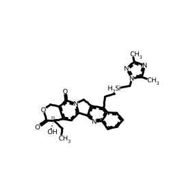 CC[C@@]1(O)C(=O)OCc2c1cc1n(c2=O)Cc2c-1nc1ccccc1c2CC[SiH2]Cn1nc(C)nc1C